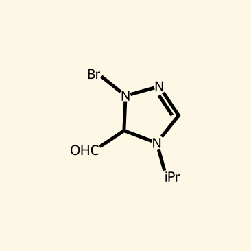 CC(C)N1C=NN(Br)C1C=O